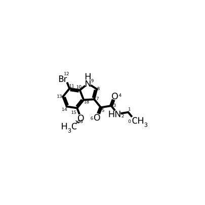 CCNC(=O)C(=O)c1c[nH]c2c(Br)ccc(OC)c12